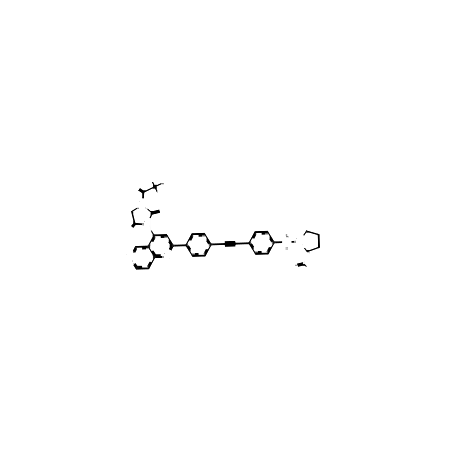 O=C(O)[C@H]1CCCN1S(=O)(=O)c1ccc(C#Cc2ccc(-c3cc(N4C(=O)CN(C(=O)C(F)(F)F)C4=S)c4cnccc4n3)cc2)cc1